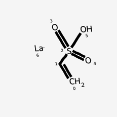 C=CS(=O)(=O)O.[La]